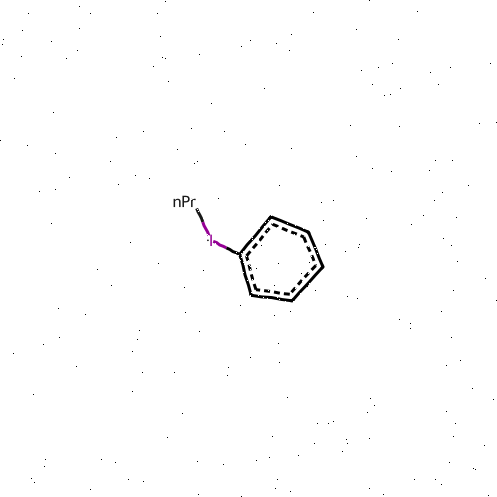 CCC[I]c1ccccc1